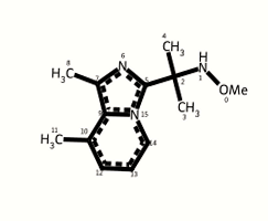 CONC(C)(C)c1nc(C)c2c(C)cccn12